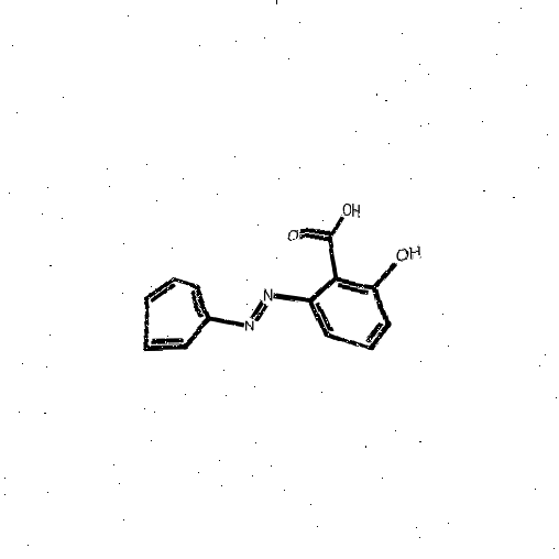 O=C(O)c1c(O)cccc1N=Nc1ccccc1